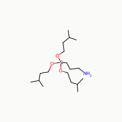 CC(C)CCO[Si](CCCN)(OCCC(C)C)OCCC(C)C